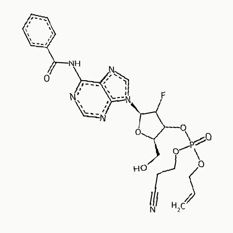 C=CCOP(=O)(OCCC#N)OC1C(F)[C@H](n2cnc3c(NC(=O)c4ccccc4)ncnc32)O[C@@H]1CO